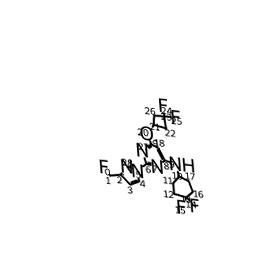 FCc1ccn(-c2nc(NC3CCC(F)(F)CC3)cc(OC3CC(F)(F)C3)n2)n1